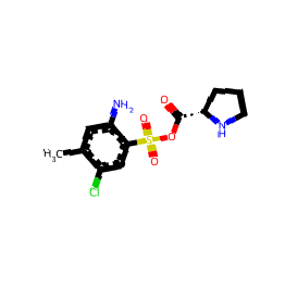 Cc1cc(N)c(S(=O)(=O)OC(=O)[C@@H]2CCCN2)cc1Cl